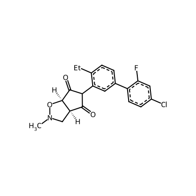 CCc1ccc(-c2ccc(Cl)cc2F)cc1C1C(=O)[C@H]2CN(C)O[C@H]2C1=O